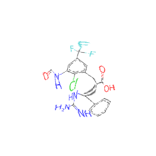 N=C(N)NC(=C(C(=O)O)c1cc(C(F)(F)F)cc(NC=O)c1Cl)c1ccccc1